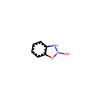 ON1Nc2ccccc2O1